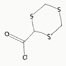 O=C(Cl)C1SCSCS1